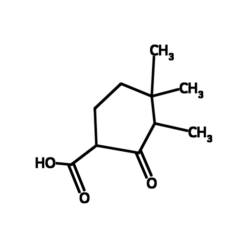 CC1C(=O)C(C(=O)O)CCC1(C)C